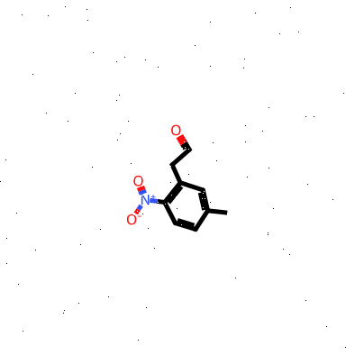 Cc1ccc([N+](=O)[O-])c(CC=O)c1